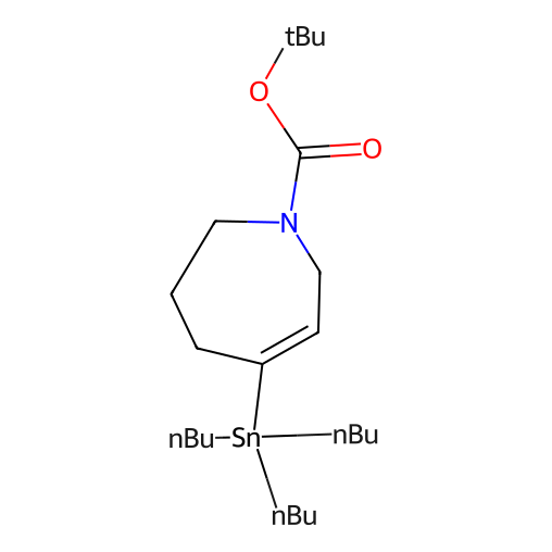 CCC[CH2][Sn]([CH2]CCC)([CH2]CCC)[C]1=CCN(C(=O)OC(C)(C)C)CCC1